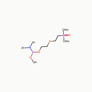 CCCOP(OCCSCCP(=O)(OC)OC)N(C(C)C)C(C)C